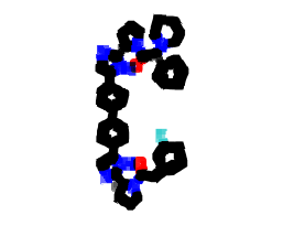 O=C(Cc1cccc(F)c1)N1CCC[C@H]1c1ncc(-c2ccc(-c3ccc(-c4cnc([C@@H]5CCCN5C(=O)[C@@H](c5ccccc5)N5CCCCC5)[nH]4)cc3)cc2)[nH]1